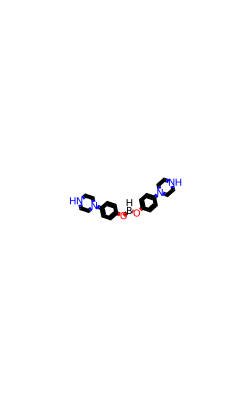 B(Oc1ccc(N2CCNCC2)cc1)Oc1ccc(N2CCNCC2)cc1